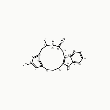 CC1Cc2cc(F)cc(c2)CCCc2[nH]c3ccccc3c2CC(=O)N1